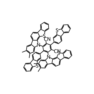 Cc1cc2c3ccc4c5ccccc5sc4c3n(-c3c(C#N)c(-c4ccc5c(c4)sc4ccccc45)c(C#N)c(-n4c5cc(C)c(C)cc5c5ccc6c7ccccc7sc6c54)c3-c3ccc4c(c3)sc3ccccc34)c2cc1C